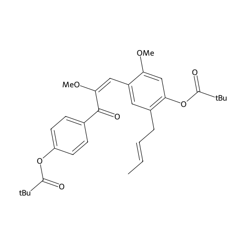 CC=CCc1cc(C=C(OC)C(=O)c2ccc(OC(=O)C(C)(C)C)cc2)c(OC)cc1OC(=O)C(C)(C)C